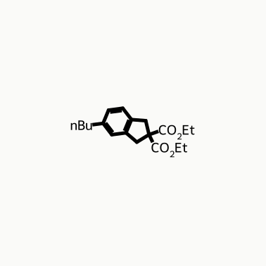 CCCCc1ccc2c(c1)CC(C(=O)OCC)(C(=O)OCC)C2